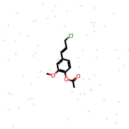 COc1cc(/C=C/CCl)ccc1OC(C)=O